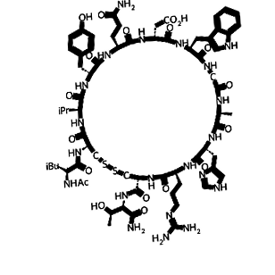 CC[C@H](C)[C@H](NC(C)=O)C(=O)N[C@H]1CSSC[C@@H](C(=O)N[C@H](C(N)=O)[C@@H](C)O)NC(=O)[C@H](CCCN=C(N)N)NC(=O)[C@@H](Cc2c[nH]cn2)NC(=O)[C@H](C)NC(=O)CNC(=O)[C@H](Cc2c[nH]c3ccccc23)NC(=O)[C@@H](CC(=O)O)NC(=O)[C@H](CCC(N)=O)NC(=O)[C@@H](Cc2ccc(O)cc2)NC(=O)[C@H](C(C)C)NC1=O